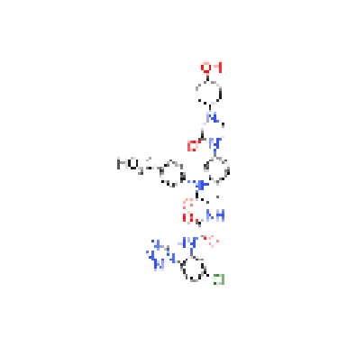 O=C(Nc1cc(Cl)ccc1-n1cnnn1)C(=O)N[C@@H](Cc1ccc(N2CCN(C3CCC(O)CC3)CC2=O)cc1)C(=O)Nc1ccc(C(=O)O)cc1